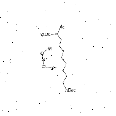 CC(C)[O][Al+][O]C(C)C.CCCCCCCCCCCCCCCCCCC(C(C)=O)C(=O)[O-]